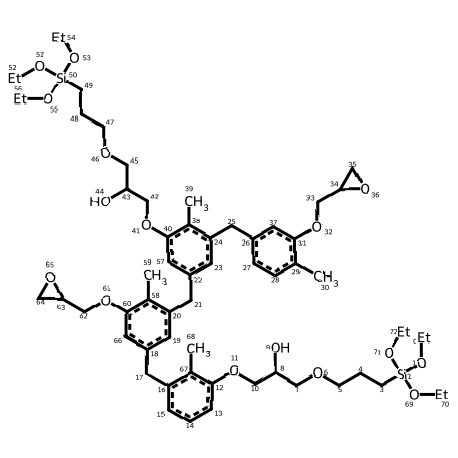 CCO[Si](CCCOCC(O)COc1cccc(Cc2cc(Cc3cc(Cc4ccc(C)c(OCC5CO5)c4)c(C)c(OCC(O)COCCC[Si](OCC)(OCC)OCC)c3)c(C)c(OCC3CO3)c2)c1C)(OCC)OCC